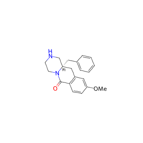 COc1ccc2c(c1)C[C@]1(Cc3ccccc3)CNCCN1C2=O